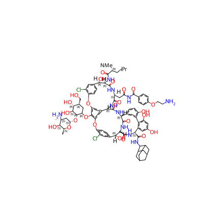 CN[C@H](CC(C)C)C(=O)N[C@H]1C(=O)N[C@@H](CC(=O)NC(=O)c2ccc(OCCN)cc2)C(=O)N[C@H]2C(=O)N[C@H]3C(=O)N[C@H](C(=O)N[C@H](C(=O)NC4C5CC6CC(C5)CC4C6)c4cc(O)cc(O)c4-c4cc3ccc4O)[C@H](O)c3ccc(c(Cl)c3)Oc3cc2cc(c3O[C@@H]2C[C@H](CO)[C@@H](O)[C@H](O)[C@H]2O[C@H]2C[C@](C)(N)[C@H](O)[C@H](C)O2)Oc2ccc(cc2Cl)[C@H]1O